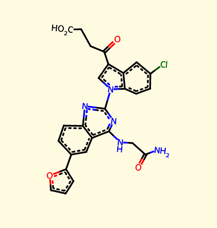 NC(=O)CNc1nc(-n2cc(C(=O)CCC(=O)O)c3cc(Cl)ccc32)nc2ccc(-c3ccco3)cc12